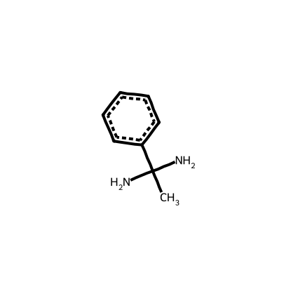 CC(N)(N)c1ccccc1